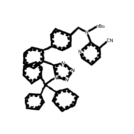 CCCCN(Cc1ccc(-c2ccccc2-c2nnnn2C(c2ccccc2)(c2ccccc2)c2ccccc2)cc1)c1ncccc1C#N